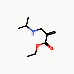 C=C(CNC(C)C)C(=O)OCC